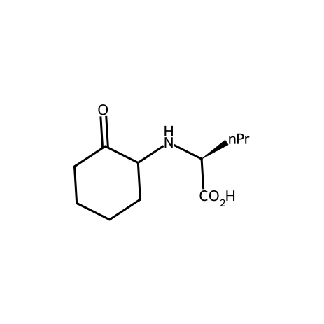 CCC[C@H](NC1CCCCC1=O)C(=O)O